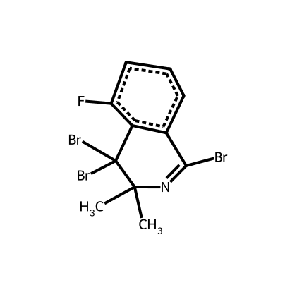 CC1(C)N=C(Br)c2cccc(F)c2C1(Br)Br